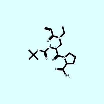 C=CC(=O)N(CC)C[C@H](NC(=O)OC(C)(C)C)C(=O)N1CCCC1C(N)=O